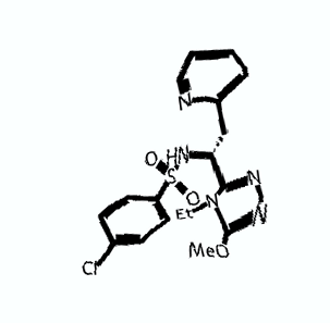 CCn1c(OC)nnc1[C@@H](Cc1ccccn1)NS(=O)(=O)c1ccc(Cl)cc1